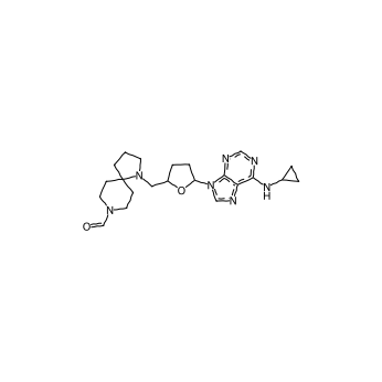 O=CN1CCC2(CCCN2CC2CCC(n3cnc4c(NC5CC5)ncnc43)O2)CC1